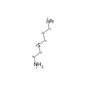 CCCCCCSCCN